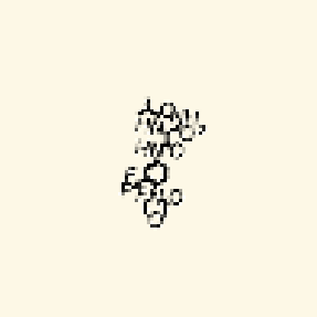 CC(C)C(=O)N[C@@H](C(N)=O)C(=O)Nc1ccc(N2CCOCC2=O)c(C(F)(F)F)c1